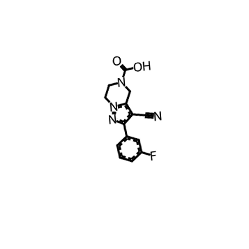 N#Cc1c(-c2cccc(F)c2)nn2c1CN(C(=O)O)CC2